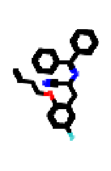 C=CCCOc1ccc(F)cc1CC(C#N)N=C(c1ccccc1)c1ccccc1